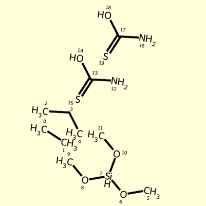 CC.CCC.CO[SiH](OC)OC.NC(O)=S.NC(O)=S